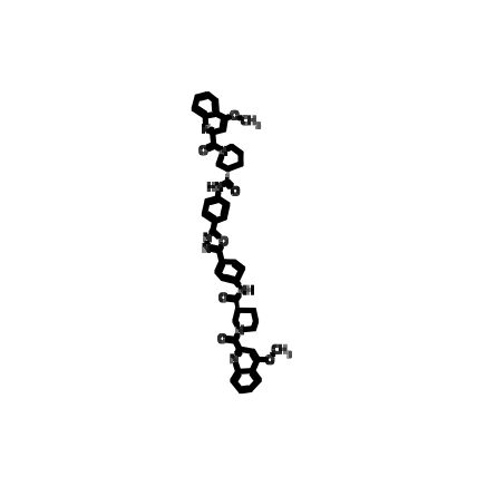 COc1cc(C(=O)N2CCC[C@H](C(=O)Nc3ccc(-c4nnc(-c5ccc(NC(=O)[C@H]6CCCN(C(=O)c7cc(OC)c8ccccc8n7)C6)cc5)o4)cc3)C2)nc2ccccc12